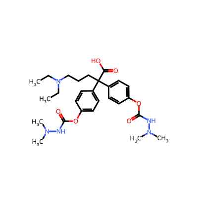 CCN(CC)CCCC(C(=O)O)(c1ccc(OC(=O)NN(C)C)cc1)c1ccc(OC(=O)NN(C)C)cc1